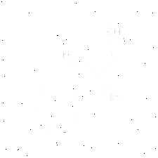 C=C[Si](C)(CC)C1CCCC1